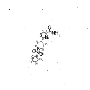 NC(=O)c1csc(C2CCN(S(=O)(=O)c3cccs3)CC2)n1